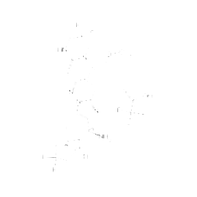 COC[C@H](c1cnn2cc([C@@H](N)C3[C@H]4CC(F)(F)C[C@@H]34)nc2c1)N1CC(F)(F)CNC1=O.O=C(O)C(F)(F)F